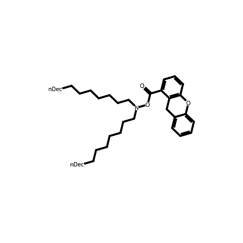 CCCCCCCCCCCCCCCCCN(CCCCCCCCCCCCCCCCC)OC(=O)c1cccc2c1Cc1ccccc1O2